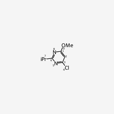 COc1cc(Cl)nc(C(C)C)n1